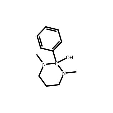 CN1CCCN(C)[P]1(O)c1ccccc1